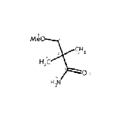 CO[CH]C(C)(C)C(N)=O